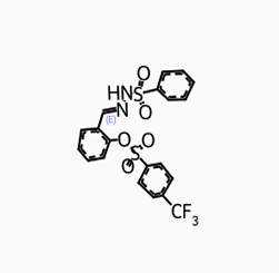 O=S(=O)(N/N=C/c1ccccc1OS(=O)(=O)c1ccc(C(F)(F)F)cc1)c1ccccc1